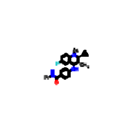 CC(=O)N1c2ccc(F)cc2[C@H](Nc2ccc(C(=O)NC(C)C)cc2)[C@@H](C)[C@H]1C1CC1